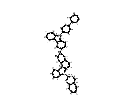 c1ccc(-c2ccc(-n3c4ccccc4c4cc(-c5ccc6c(ccc7c6c6ccccc6n7-c6ncc7ccccc7n6)c5)ccc43)cc2)cc1